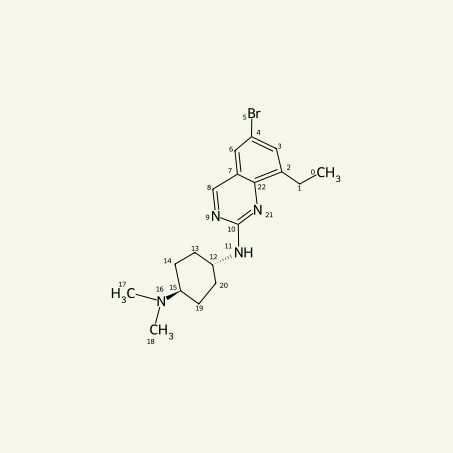 CCc1cc(Br)cc2cnc(N[C@H]3CC[C@H](N(C)C)CC3)nc12